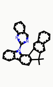 CC1(C)c2cc3ccccc3cc2-c2c1ccc1c3ccccc3n(-c3ncc4ccccc4n3)c21